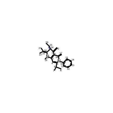 C=C1C2=C(C=C(C(C)C)N(c3ccccc3)C2=C)N(C)C(=C(C)C)/C1=C\C